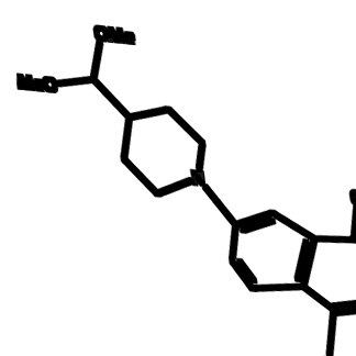 COC(=O)c1ccc(N2CCC(C(OC)OC)CC2)cc1CO